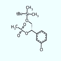 CC(C)(C)[Si](C)(C)OC[C@@H](OS(C)(=O)=O)c1cccc(Cl)c1